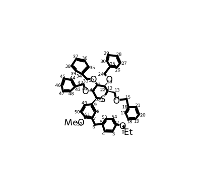 CCOc1ccc(Cc2cc([C@@H]3S[C@H](COCc4ccccc4)[C@@H](OCc4ccccc4)[C@H](OCc4ccccc4)[C@H]3OCc3ccccc3)ccc2OC)cc1